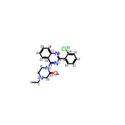 CCN1CCN(c2nc(-c3ccccc3Cl)nc3ccccc23)C(=O)C1